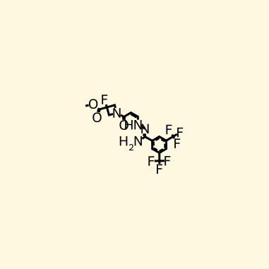 COC(=O)C1(F)CN(C(=O)/C=C\N/N=C(\N)c2cc(C(F)(F)F)cc(C(F)(F)F)c2)C1